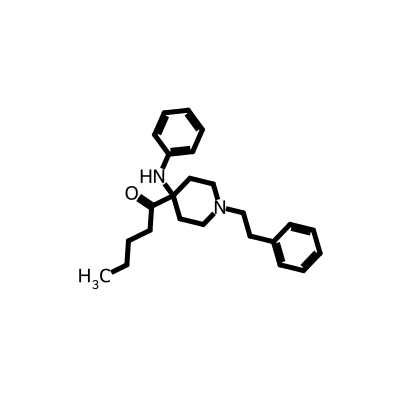 CCCCC(=O)C1(Nc2ccccc2)CCN(CCc2ccccc2)CC1